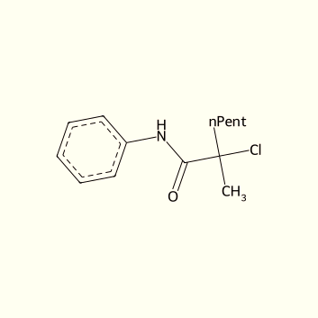 CCCCCC(C)(Cl)C(=O)Nc1ccccc1